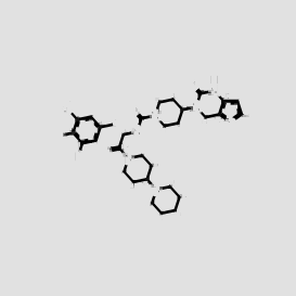 O=C(N[C@@H](Cc1cc(Br)c(O)c(Br)c1)C(=O)N1CCC(N2CCCCC2)CC1)N1CCC(N2Cc3sccc3NC2=O)CC1